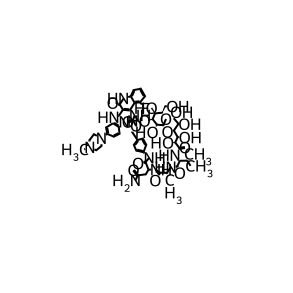 CC(NC(=O)C(NC(=O)[C@H](O)[C@H](O)[C@@H](O[C@@H]1O[C@H](CO)[C@H](O)[C@H](O)[C@H]1O)[C@H](O)CO)C(C)C)C(=O)NC(CC(N)=O)C(=O)Nc1ccc(COC(=O)Nc2c(-c3nc4ccc(N5CCN(C)CC5)cc4[nH]3)c(=O)[nH]c3cccc(F)c23)cc1